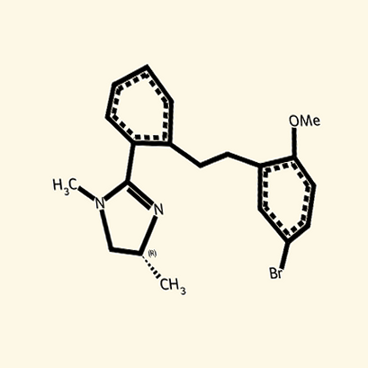 COc1ccc(Br)cc1CCc1ccccc1C1=N[C@H](C)CN1C